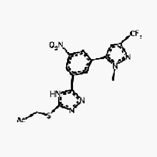 CC(=O)CSc1nnc(-c2cc(-c3cc(C(F)(F)F)nn3C)cc([N+](=O)[O-])c2)[nH]1